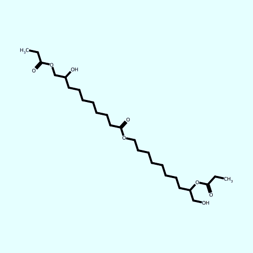 CCC(=O)OCC(O)CCCCCCCC(=O)OCCCCCCCCC(CO)OC(=O)CC